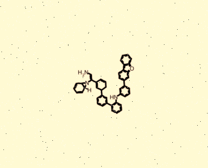 N/C=C(/C1=CC(c2cccc(-c3ccccc3Nc3cccc(-c4ccc5c(c4)oc4ccccc45)c3)c2)CC=C1)N1C2C=CC=C[C@H]21